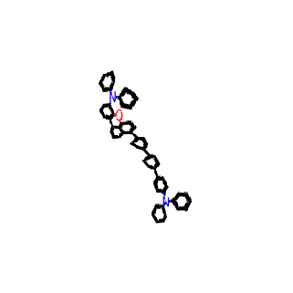 c1ccc(N(c2ccccc2)c2ccc(-c3ccc(-c4ccc(-c5ccc6c7c(cccc57)-c5cccc(N(c7ccccc7)c7ccccc7)c5O6)cc4)cc3)cc2)cc1